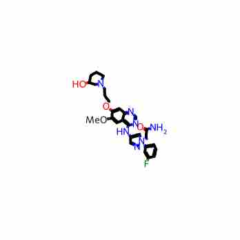 COc1cc2c(NC3=C[N+](CC(N)=O)(c4cccc(F)c4)N=C3)ncnc2cc1OCCCN1CCCC(O)C1